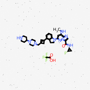 CNc1cc(N2CCc3c2cccc3C23CC(CN4CCN(C5CCNCC5)CC4)(C2)C3)nn2c(C(=O)N[C@@H]3C[C@@H]3F)cnc12.O=C(O)C(F)(F)F